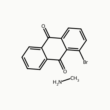 CN.O=C1c2ccccc2C(=O)c2c(Br)cccc21